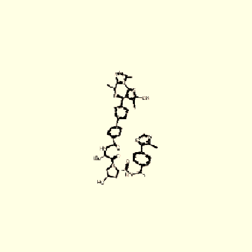 Cc1ncsc1-c1ccc([C@H](C)NC(=O)[C@@H]2C[C@@H](O)CN2C(=O)[C@@H](NC(=O)c2ccc(-c3ccc(C4=N[C@@H](C)c5nnc(C)n5-c5sc(C#N)c(C)c54)cc3)cc2)C(C)(C)C)cc1